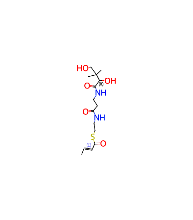 C/C=C/C(=O)SCCNC(=O)CCNC(=O)[C@H](O)C(C)(C)CO